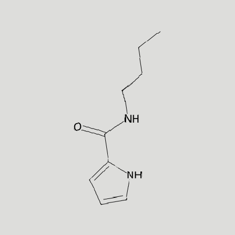 CCCCNC(=O)c1ccc[nH]1